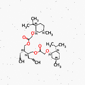 C#CC[C@H](COC(=O)CO[C@H]1C[C@@H](C)CC[C@@H]1C(C)C)[C@H](CC#C)COC(=O)CO[C@H]1C[C@H](C)CC[C@H]1C(C)C